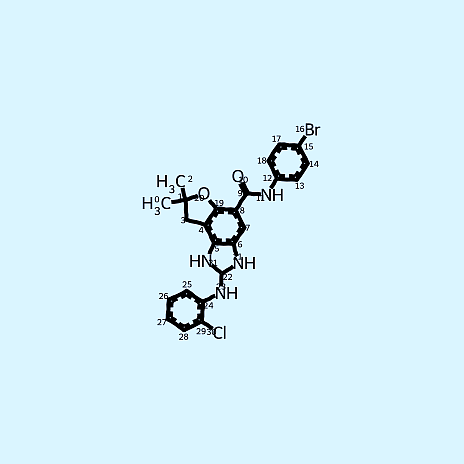 CC1(C)Cc2c3c(cc(C(=O)Nc4ccc(Br)cc4)c2O1)NC(Nc1ccccc1Cl)N3